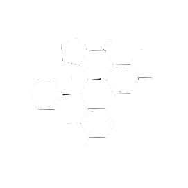 O=C1c2c(O)c(=O)cnn2[C@@H]([C@H](c2ccccc2)c2cccc(F)c2F)[C@H]2CCCN12